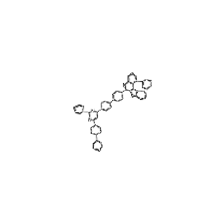 c1ccc(-c2ccc(-c3cc(-c4ccc(-c5ccc(-c6nc7cccc(-c8ccccc8)c7c7c6sc6ccccc67)cc5)cc4)nc(-c4ccccc4)n3)cc2)cc1